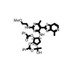 COCCNc1nc(C)c(-c2nc3c(C)nccc3s2)c(N[C@@H]2C[C@H](C(C)(C)O)[C@@H](OC(=O)C(C)C)[C@H]2OC(=O)C(C)C)n1